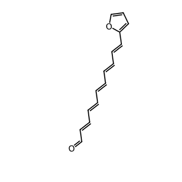 O=CC=CC=CC=CC=CC=Cc1ccco1